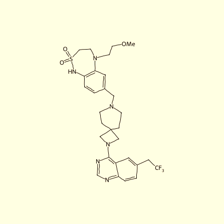 COCCN1CCS(=O)(=O)Nc2ccc(CN3CCC4(CC3)CN(c3ncnc5ccc(CC(F)(F)F)cc35)C4)cc21